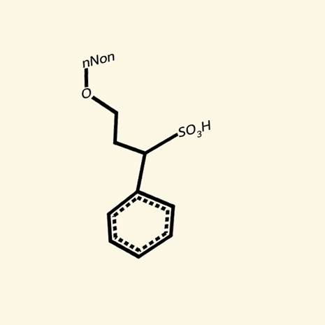 CCCCCCCCCOCCC(c1ccccc1)S(=O)(=O)O